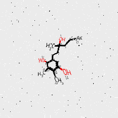 CC(=O)CCC(C)(O)CCc1cc(O)c(C)c(C)c1O